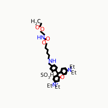 C=CC(=O)OCCNC(=O)OCCCCCCNCc1ccc(-c2c3ccc(=[N+](CC)CC)cc-3oc3cc(N(CC)CC)ccc23)c(S(=O)(=O)O)c1